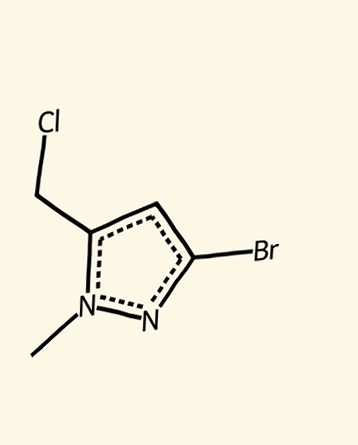 Cn1nc(Br)cc1CCl